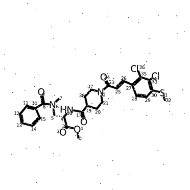 COC(=O)[C@H](CN(C)C(=O)c1ccccc1)NC(=O)C1CCN(C(=O)/C=C/c2ccc(SC)c(Cl)c2Cl)CC1